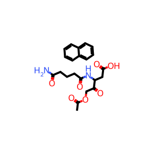 CC(=O)OCC(=O)C(CC(=O)O)NC(=O)CCCC(N)=O.c1ccc2ccccc2c1